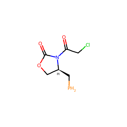 O=C(CCl)N1C(=O)OC[C@@H]1CP